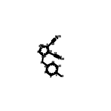 Cc1ccc(Cn2cnc(C#N)c2C#N)cc1